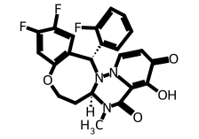 CN1C(=O)c2c(O)c(=O)ccn2N2[C@@H](c3ccccc3F)c3cc(F)c(F)cc3OCC[C@H]12